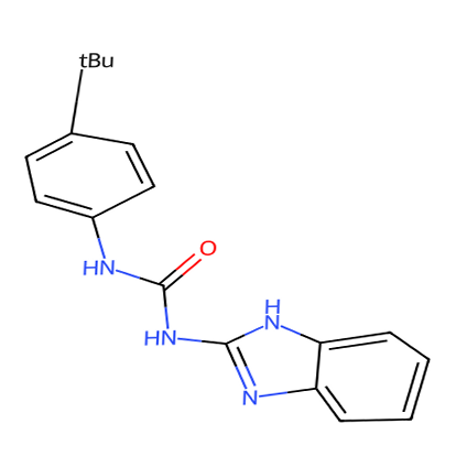 CC(C)(C)c1ccc(NC(=O)Nc2nc3ccccc3[nH]2)cc1